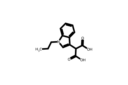 CCCn1cc(C(C(=O)O)C(=O)O)c2ccccc21